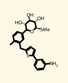 CS[C@H]1OC(c2ccc(C)c(Cc3ccc(-c4cccc(N)c4)s3)c2)[C@H](O)[C@@H](O)[C@@H]1O